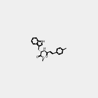 COC(=O)[C@H](Cc1c[nH]c2ccccc12)NC(=O)/C=C/c1ccc(C)cc1